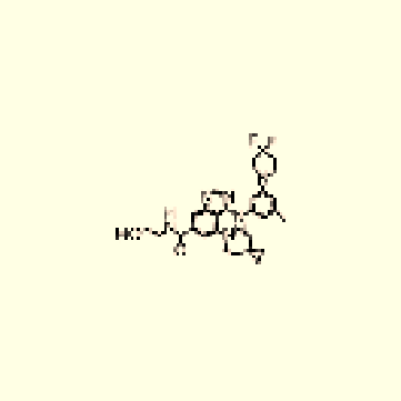 Cc1cc(Nc2ncnc3cc(C(=O)NCCO)cc(N4CCC5(CC4)CC5)c23)cc(N2CCC(F)(F)CC2)c1